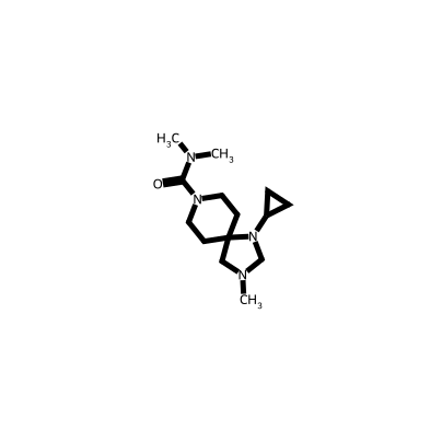 CN1CN(C2CC2)C2(CCN(C(=O)N(C)C)CC2)C1